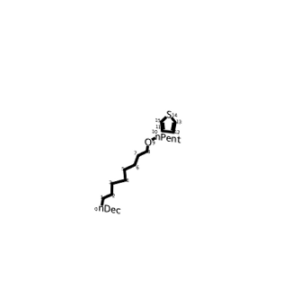 CCCCCCCCCCCCCCCCCCOCCCCC.c1ccsc1